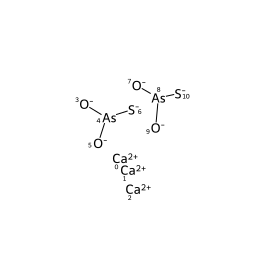 [Ca+2].[Ca+2].[Ca+2].[O-][As]([O-])[S-].[O-][As]([O-])[S-]